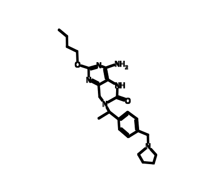 CCCCOc1nc(N)c2c(n1)CN(C(C)c1ccc(CN3CCCC3)cc1)C(=O)N2